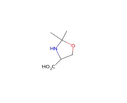 CC1(C)NC(C(=O)O)CO1